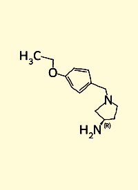 CCOc1ccc(CN2CC[C@@H](N)C2)cc1